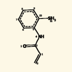 C=CC(=O)Nc1ccccc1[SiH3]